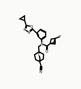 N#CC12CCC(CN(C(=O)C34CC(F)(C3)C4)c3cccc(-c4nnc(C5CC5)o4)c3)(CC1)CC2